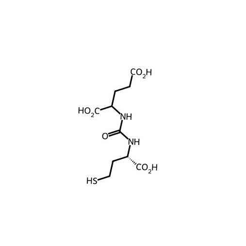 O=C(O)CCC(NC(=O)N[C@@H](CCS)C(=O)O)C(=O)O